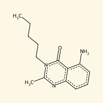 CCCCCn1c(C)nc2cccc(N)c2c1=O